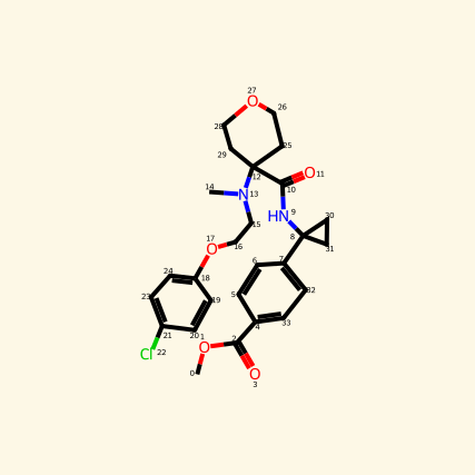 COC(=O)c1ccc(C2(NC(=O)C3(N(C)CCOc4ccc(Cl)cc4)CCOCC3)CC2)cc1